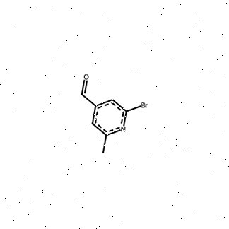 Cc1cc(C=O)cc(Br)n1